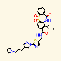 Cc1c(C(=O)NCc2cnc(-n3cc(CCCN4CCC4)cn3)s2)ccc2c1NC(=O)c1ccccc1S2(=O)=O